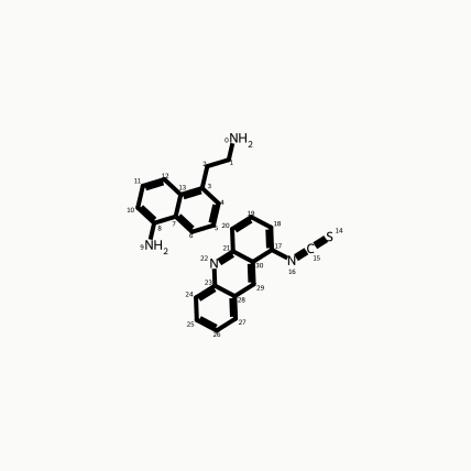 NCCc1cccc2c(N)cccc12.S=C=Nc1cccc2nc3ccccc3cc12